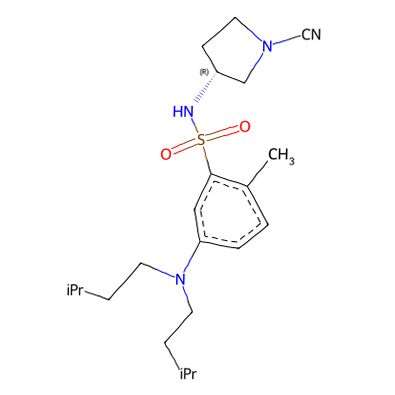 Cc1ccc(N(CCC(C)C)CCC(C)C)cc1S(=O)(=O)N[C@@H]1CCN(C#N)C1